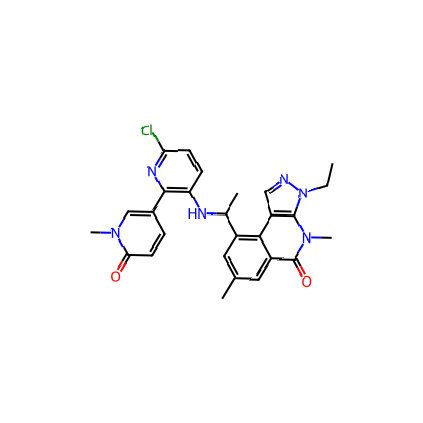 CCn1ncc2c3c(C(C)Nc4ccc(Cl)nc4-c4ccc(=O)n(C)c4)cc(C)cc3c(=O)n(C)c21